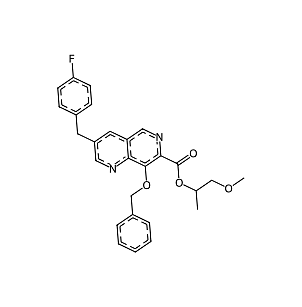 COCC(C)OC(=O)c1ncc2cc(Cc3ccc(F)cc3)cnc2c1OCc1ccccc1